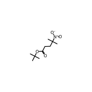 CC(C)(C)OC(=O)CCC(C)(C)[N+](=O)[O-]